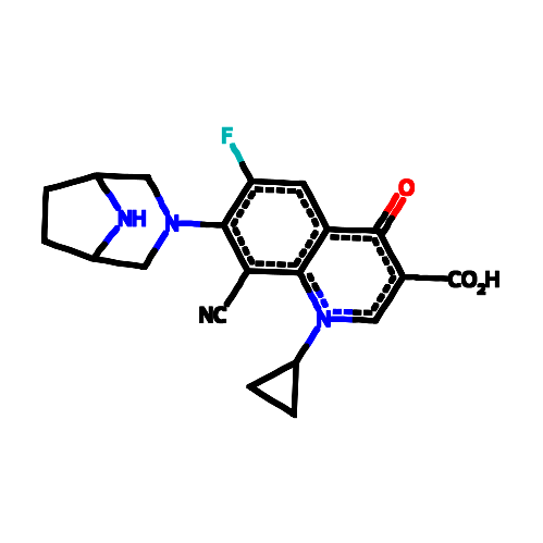 N#Cc1c(N2CC3CCC(C2)N3)c(F)cc2c(=O)c(C(=O)O)cn(C3CC3)c12